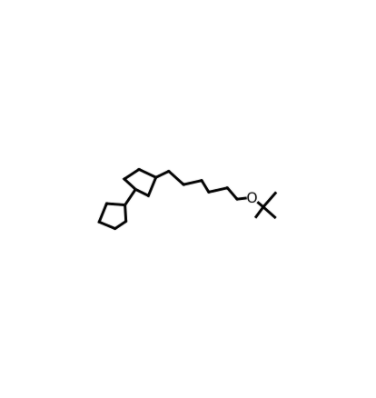 CC(C)(C)OCCCCCCC1CCC(C2CCCC2)C1